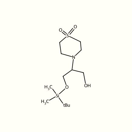 CC(C)(C)[Si](C)(C)OCC(CO)N1CCS(=O)(=O)CC1